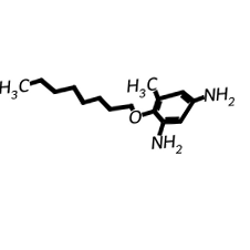 CCCCCCCCOc1c(C)cc(N)cc1N